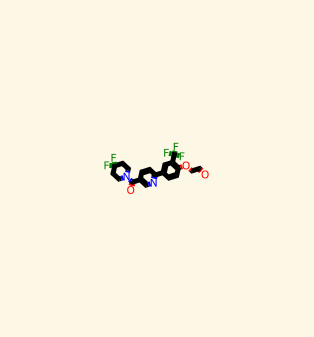 O=CCOc1ccc(-c2ccc(C(=O)N3CCC(F)(F)CC3)cn2)cc1C(F)(F)F